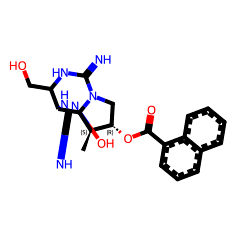 C[C@@H]1[C@@H](OC(=O)c2cccc3ccccc23)CN2C(=N)NC(CO)C3NC(=N)N(O)C312